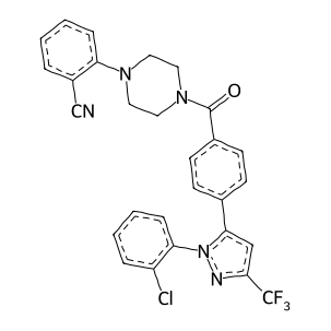 N#Cc1ccccc1N1CCN(C(=O)c2ccc(-c3cc(C(F)(F)F)nn3-c3ccccc3Cl)cc2)CC1